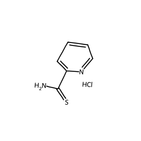 Cl.NC(=S)c1ccccn1